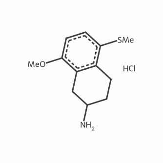 COc1ccc(SC)c2c1CC(N)CC2.Cl